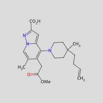 C=CCCC1(C)CCN(c2c(CC(=O)OC)c(C)cn3nc(C(=O)O)cc23)CC1